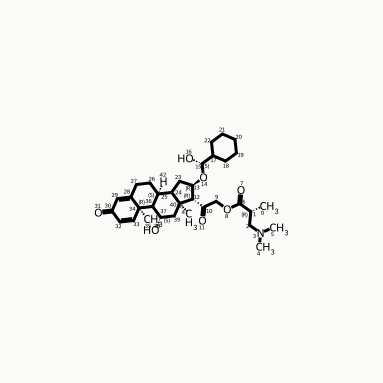 C[C@H](CN(C)C)C(=O)OCC(=O)[C@H]1[C@H](O[C@H](O)C2CCCCC2)CC2[C@@H]3CCC4=CC(=O)C=C[C@]4(C)C3[C@@H](O)C[C@@]21C